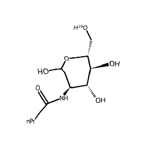 CCCC(=O)N[C@H]1C(O)O[C@H](C[18OH])[C@@H](O)[C@@H]1O